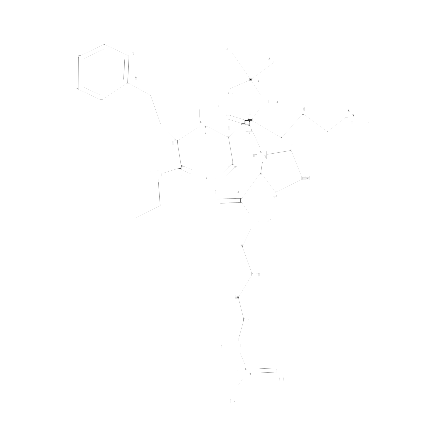 CCOC(=O)C(CCc1ccccc1)NC(CCCCN)C(=O)[C@@]1(C(=O)OCCCCO[N+](=O)[O-])CCCN1C(=O)OC(C)(C)C